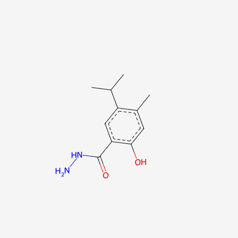 Cc1cc(O)c(C(=O)NN)cc1C(C)C